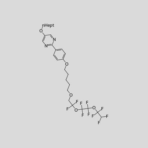 CCCCCCCOc1cnc(-c2ccc(OCCCCCOCC(F)(F)OC(F)(F)C(F)(F)OC(F)(F)C(F)F)cc2)nc1